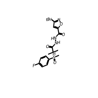 CC(C)(C)c1cc(C(=O)NNC(=O)C(C)(C)[SH](C)(=O)c2ccc(F)cc2)on1